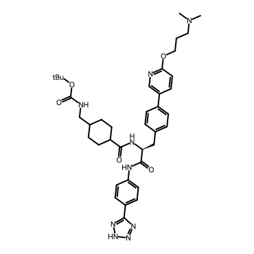 CN(C)CCCOc1ccc(-c2ccc(C[C@H](NC(=O)C3CCC(CNC(=O)OC(C)(C)C)CC3)C(=O)Nc3ccc(-c4nn[nH]n4)cc3)cc2)cn1